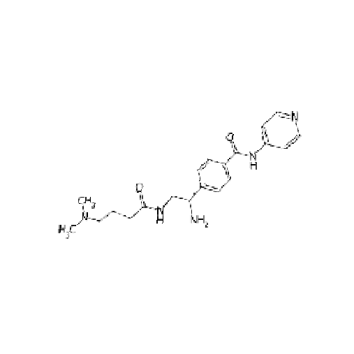 CN(C)CCCC(=O)NCC(N)c1ccc(C(=O)Nc2ccncc2)cc1